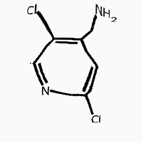 Nc1cc(Cl)n[c]c1Cl